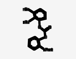 CCCCCc1ccccc1OC(=O)Oc1cccc(CCCC)c1CCCC